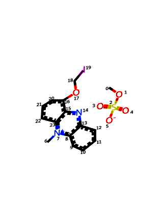 COS(=O)(=O)[O-].C[n+]1c2ccccc2nc2c(OCI)cccc21